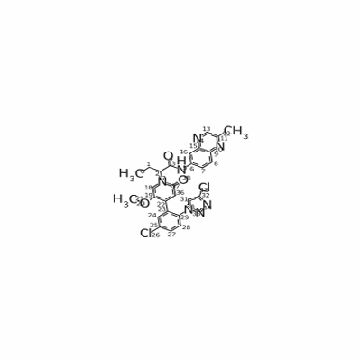 CCC(C(=O)Nc1ccc2nc(C)cnc2c1)n1cc(OC)c(-c2cc(Cl)ccc2-n2cc(Cl)nn2)cc1=O